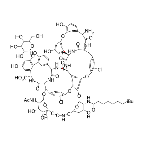 CCC(C)CCCCCCC(=O)N[C@@H]1C(O)CC2CNOC[C@H]3OC(OC4c5ccc(c(Cl)c5)Oc5cc6cc(c5OC1O2)Oc1ccc(cc1Cl)C[C@H]1NC(=O)C(N)c2ccc(O)c(c2)Oc2cc(O)cc(c2)[C@H](NC1=O)C(=O)N[C@H]6C(=O)NC1C(=O)NC4C(=O)NC(C(=O)O)c2cc(O)cc(O[C@H]4OC(CO)[C@@H](OI)C(O)C4O)c2-c2cc1ccc2O)C(NC(C)=O)[C@@H](O)C3O